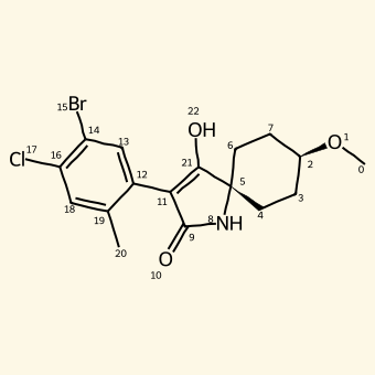 CO[C@H]1CC[C@@]2(CC1)NC(=O)C(c1cc(Br)c(Cl)cc1C)=C2O